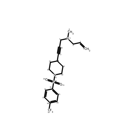 C=CCN(C)CC#CC1CCN(S(=O)(=O)c2ccc(C(F)(F)F)cc2)CC1